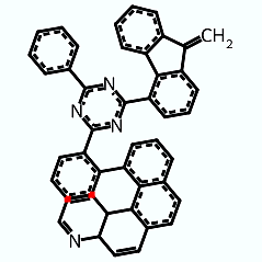 C=C1c2ccccc2-c2c1cccc2-c1nc(-c2ccccc2)nc(-c2ccccc2-c2cccc3ccc4c(c23)C2C=CC=NC2C=C4)n1